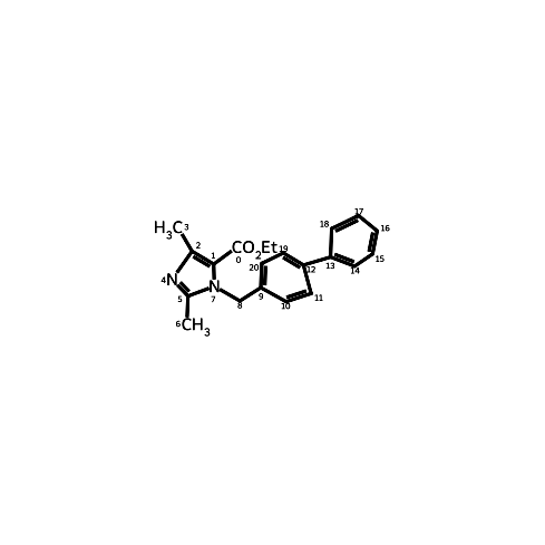 CCOC(=O)c1c(C)nc(C)n1Cc1ccc(-c2ccccc2)cc1